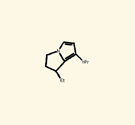 CCCc1ccn2c1C(CC)CC2